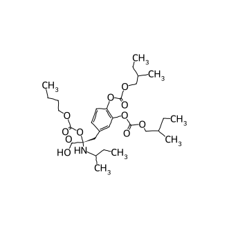 CCCCOC(=O)O[C@](Cc1ccc(OC(=O)OCC(C)CC)c(OC(=O)OCC(C)CC)c1)(NC(C)CC)C(=O)O